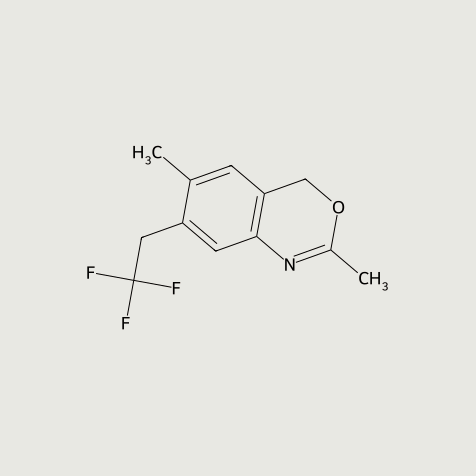 CC1=Nc2cc(CC(F)(F)F)c(C)cc2CO1